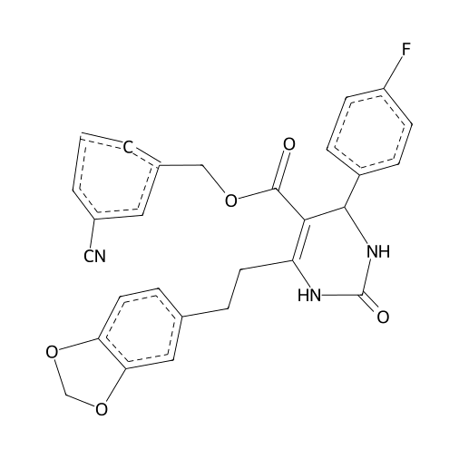 N#Cc1cccc(COC(=O)C2=C(CCc3ccc4c(c3)OCO4)NC(=O)NC2c2ccc(F)cc2)c1